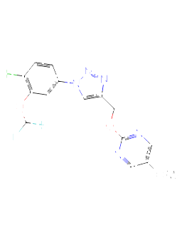 COc1cnc(OCc2cn(-c3ccc(Cl)c(OC(F)F)c3)nn2)nc1